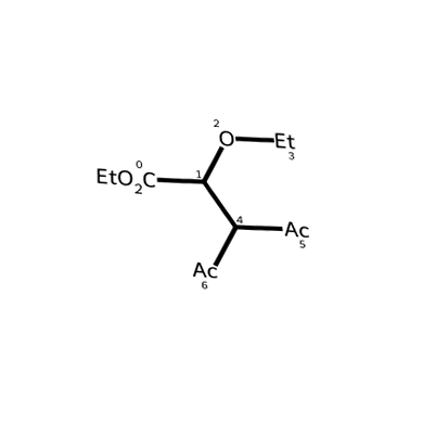 CCOC(=O)C(OCC)C(C(C)=O)C(C)=O